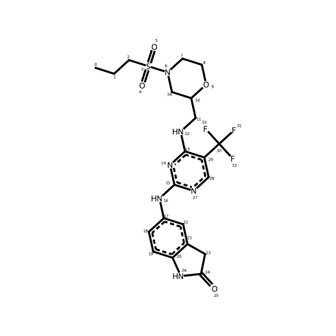 CCCS(=O)(=O)N1CCOC(CNc2nc(Nc3ccc4c(c3)CC(=O)N4)ncc2C(F)(F)F)C1